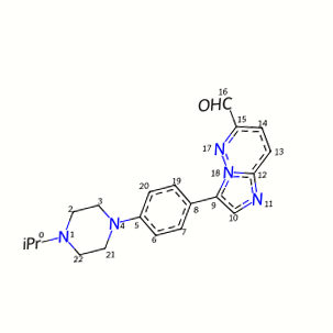 CC(C)N1CCN(c2ccc(-c3cnc4ccc(C=O)nn34)cc2)CC1